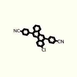 N#Cc1ccc(-c2cc3c4ccc(Cl)cc4c(-c4ccc(C#N)cc4)cc3c3ccccc23)cc1